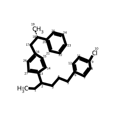 CCC(CCCc1ccc(Cl)cc1)c1ccc(C[C@H](C)c2ccccc2)cc1